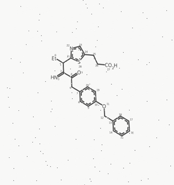 CCC(C(=N)C(=O)Cc1ccc(OCc2ccccc2)cc1)c1ncc(CCC(=O)O)s1